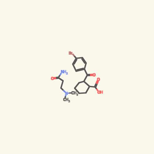 CN(C)CCC(N)=O.O=C(O)C1CCCCC1C(=O)c1ccc(Br)cc1